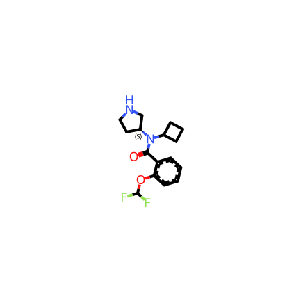 O=C(c1ccccc1OC(F)F)N(C1CCC1)[C@H]1CCNC1